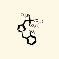 CCOC(=O)C(Cc1cnn(Cc2ccccc2[N+](=O)[O-])c1)(C(=O)OCC)C(=O)OCC